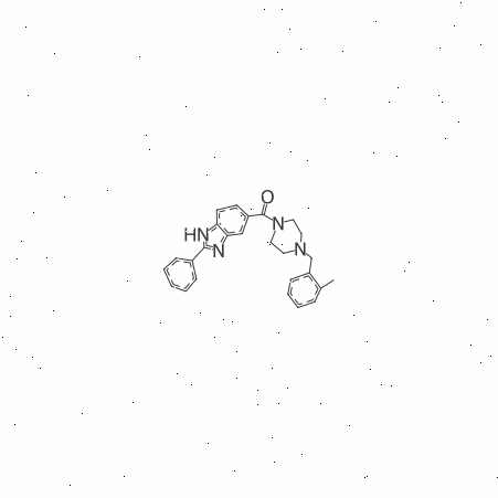 Cc1ccccc1CN1CCN(C(=O)c2ccc3[nH]c(-c4ccccc4)nc3c2)CC1